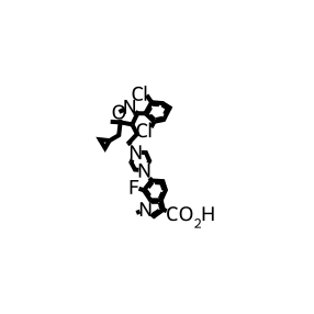 Cn1cc(C(=O)O)c2ccc(N3CCN(CCC4C(c5c(Cl)cccc5Cl)=NOC4(C)CC4CC4)CC3)c(F)c21